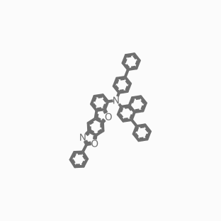 c1ccc(-c2ccc(N(c3ccc(-c4ccccc4)c4ccccc34)c3cccc4c3oc3cc5oc(-c6ccccc6)nc5cc34)cc2)cc1